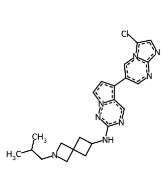 CC(C)CN1CC2(CC(Nc3ncc4c(-c5cnc6ncc(Cl)n6c5)ccn4n3)C2)C1